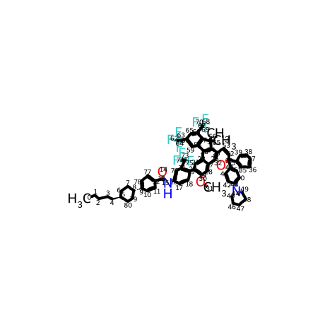 CCCCC[C@H]1CC[C@H](c2ccc(C(=O)Nc3ccc(-c4cc5c6c(c7c(c5cc4OC)OC(c4ccccc4)(c4ccc(N5CCCCC5)cc4)C=C7)C(C)(C)c4c-6cc(C(F)(F)F)cc4C(F)(F)F)c(C(F)(F)F)c3)cc2)CC1